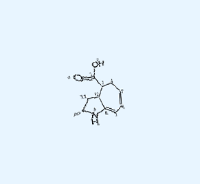 O=C(O)C1CC=CC=C2NCCC21